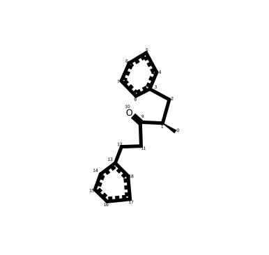 C[C@H](Cc1ccccc1)C(=O)CCc1ccccc1